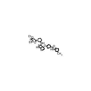 CCOP(=O)(CC(=O)N1CCC[C@@H](Nc2n[nH]c3nccc(Oc4ccc(C(=O)Nc5cc(C)ccn5)cc4)c23)C1)OCC